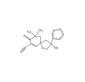 CC1(C)CC2(C=C(C#N)C1=O)CC(O)(c1ccccc1)CO2